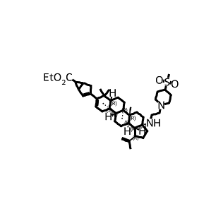 C=C(C)[C@@H]1CC[C@]2(NCCN3CCC(S(C)(=O)=O)CC3)CC[C@]3(C)[C@H](CC[C@@H]4[C@@]5(C)CC=C(C6=CC7C(C6)C7C(=O)OCC)C(C)(C)[C@@H]5CC[C@]43C)[C@@H]12